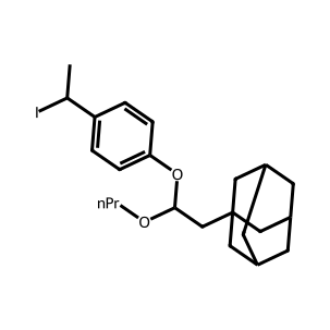 CCCOC(CC12CC3CC(CC(C3)C1)C2)Oc1ccc(C(C)I)cc1